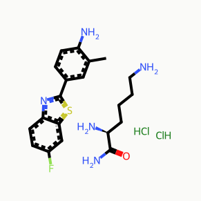 Cc1cc(-c2nc3ccc(F)cc3s2)ccc1N.Cl.Cl.NCCCC[C@H](N)C(N)=O